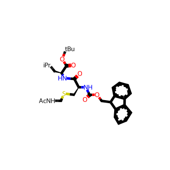 CC(=O)NCSC[C@H](NC(=O)OCC1c2ccccc2-c2ccccc21)C(=O)N[C@@H](CC(C)C)C(=O)OC(C)(C)C